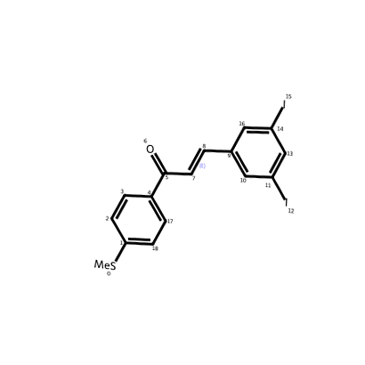 CSc1ccc(C(=O)/C=C/c2cc(I)cc(I)c2)cc1